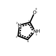 [O]c1ncc[nH]1